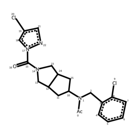 CC(=O)N(Cc1ccccc1Cl)C1CC2CN(C(=O)n3cc(Cl)cn3)CC2C1